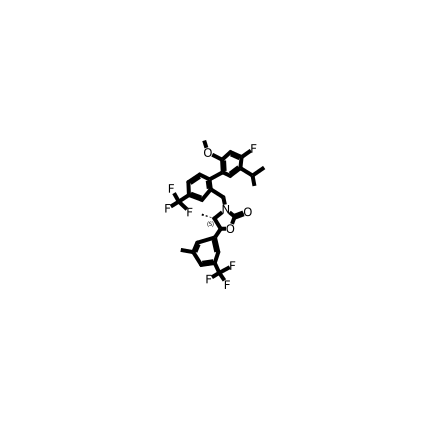 COc1cc(F)c(C(C)C)cc1-c1ccc(C(F)(F)F)cc1CN1C(=O)OC(c2cc(C)cc(C(F)(F)F)c2)[C@@H]1C